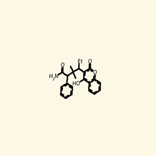 CCC(c1c(O)c2ccccc2oc1=O)C(C)(C)[C](C(N)=O)c1ccccc1